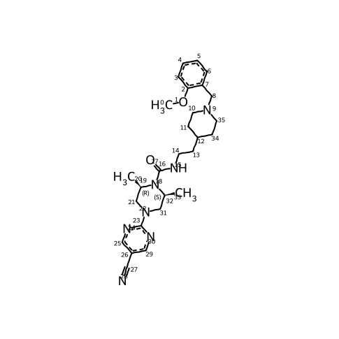 COc1ccccc1CN1CCC(CCNC(=O)N2[C@H](C)CN(c3ncc(C#N)cn3)C[C@@H]2C)CC1